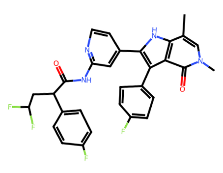 Cc1cn(C)c(=O)c2c(-c3ccc(F)cc3)c(-c3ccnc(NC(=O)C(CC(F)F)c4ccc(F)cc4)c3)[nH]c12